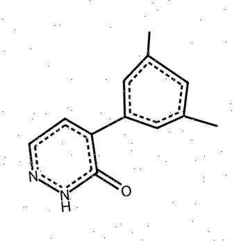 Cc1cc(C)cc(-c2ccn[nH]c2=O)c1